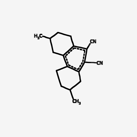 CC1CCc2c(c(C#N)c(C#N)c3c2CC(C)CC3)C1